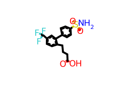 NS(=O)(=O)c1ccc(-c2cc(C(F)(F)F)ccc2CCCC(=O)O)cc1